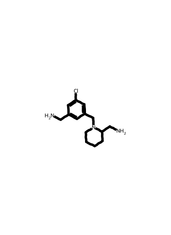 NCc1cc(Cl)cc(CN2CCCCC2CN)c1